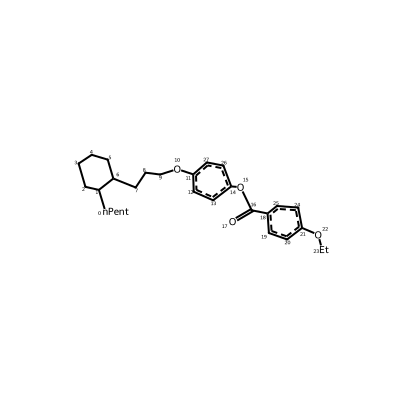 CCCCCC1CCCCC1CCCOc1ccc(OC(=O)c2ccc(OCC)cc2)cc1